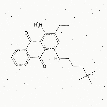 CCc1cc(NCCC[N+](C)(C)C)c2c(c1N)C(=O)c1ccccc1C2=O